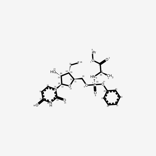 CC(C)OC(=O)[C@@H](C)N[P@](=O)(OC[C@H]1O[C@@H](n2ccc(=O)[nH]c2=O)[C@H](O)[C@@H]1CF)Oc1ccccc1